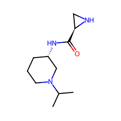 CC(C)N1CCC[C@H](NC(=O)[C@H]2CN2)C1